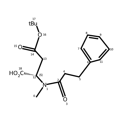 CN(C(=O)CCc1ccccc1)[C@@H](CC(=O)OC(C)(C)C)C(=O)O